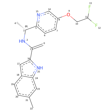 C=C(N[C@H](C)c1ccc(OCC(F)F)cn1)c1cc2ccc(C)cc2[nH]1